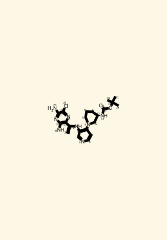 C=C(Nc1cnccc1N1CCC[C@H](NC(=O)OC(C)(C)C)C1)c1nc(Cl)c(N)nc1N